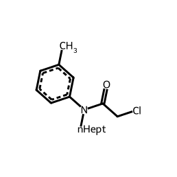 CCCCCCCN(C(=O)CCl)c1cccc(C)c1